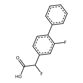 O=C(O)C(F)c1ccc(-c2ccccc2)c(F)c1